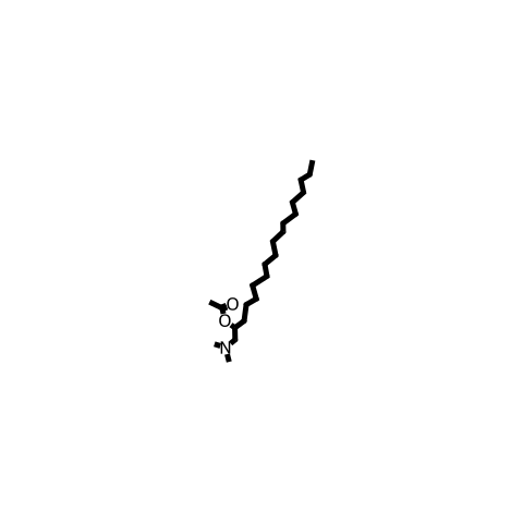 CCCCCCCCCCCCCCCCC(CN(C)C)OC(C)=O